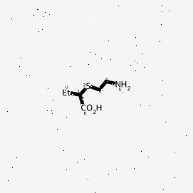 CCC(SCCN)C(=O)O